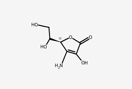 NC1=C(O)C(=O)O[C@@H]1C(O)CO